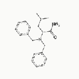 CC(C)CC(C(N)=O)N(Cc1ccccc1)Cc1ccccc1